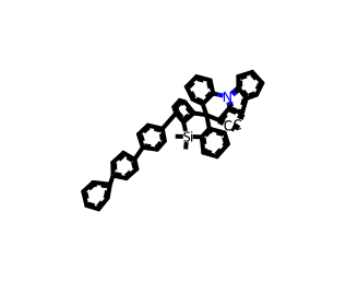 C[Si]1(C)c2ccccc2C2(c3ccccc3-n3c4ccccc4c4cccc2c43)c2cccc(-c3ccc(-c4ccc(-c5ccccc5)cc4)cc3)c21